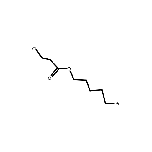 CC(C)CCCCCOC(=O)CCCl